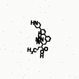 CCC[C@H](C(=O)O)[C@H](Cc1cccc(-c2ccc(C3CCNCC3)cc2)c1)c1nn[nH]n1